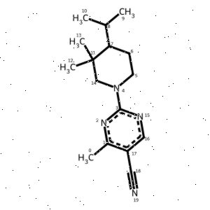 Cc1nc(N2CCC(C(C)C)C(C)(C)C2)ncc1C#N